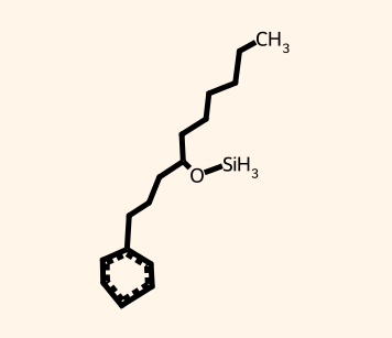 CCCCCCC(CCCc1ccccc1)O[SiH3]